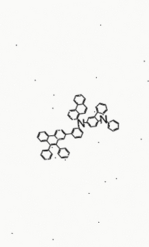 c1ccc(-c2c(-c3ccccc3)c3cc(-c4cccc(N(c5ccc6c(c5)c5ccccc5n6-c5ccccc5)c5cccc6c5ccc5ccccc56)c4)ccc3c3ccccc23)cc1